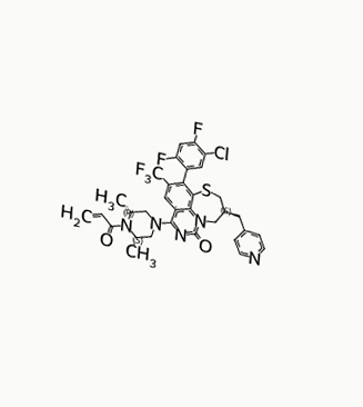 C=CC(=O)N1[C@H](C)CN(c2nc(=O)n3c4c(c(-c5cc(Cl)c(F)cc5F)c(C(F)(F)F)cc24)SC[C@@H](Cc2ccncc2)C3)C[C@@H]1C